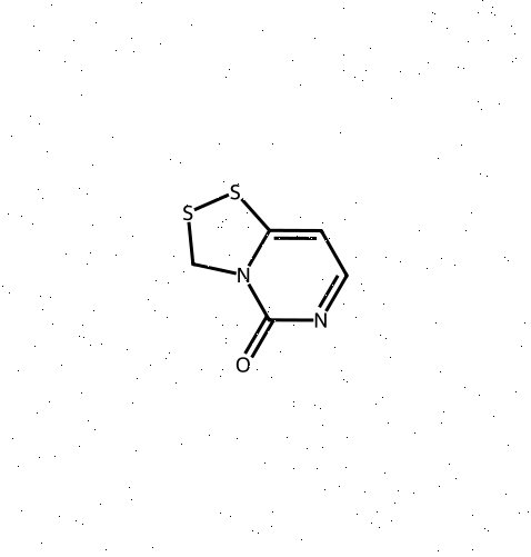 O=c1nccc2n1CSS2